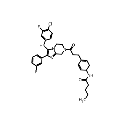 CCCCC(=O)NC1C=CC(CCC(=O)N2CCn3c(nc(-c4cccc(F)c4)c3Nc3ccc(Cl)c(F)c3)C2)=CC1